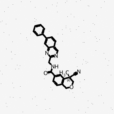 C[C@@]1(C#N)COCc2ccc(C(=O)NCc3ncc4ccc(-c5ccccc5)cc4n3)cc21